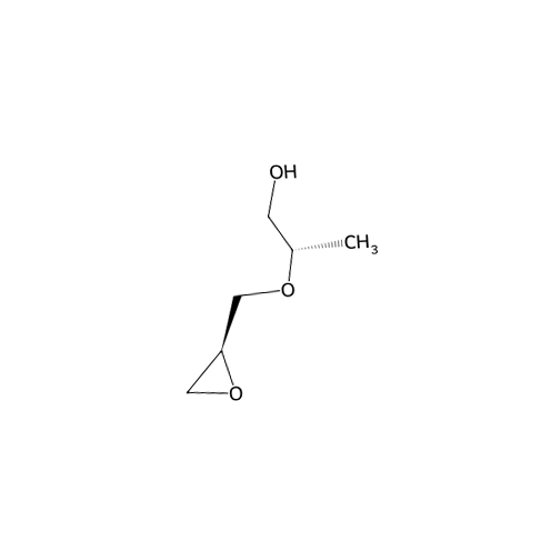 C[C@@H](CO)OC[C@@H]1CO1